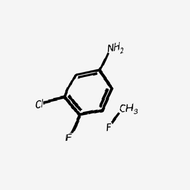 CF.Nc1ccc(F)c(Cl)c1